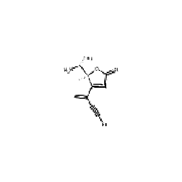 C=C(C#CCC)C1=CC(=O)O[C@]1(C)[C@H](N)CCCC